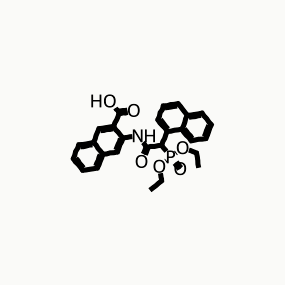 CCOP(=O)(OCC)C(C(=O)Nc1cc2ccccc2cc1C(=O)O)c1cccc2ccccc12